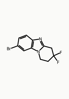 FC1(F)CCn2c(nc3ccc(Br)cc32)C1